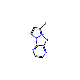 Ic1ccn2c3nccnc3[n-][n+]12